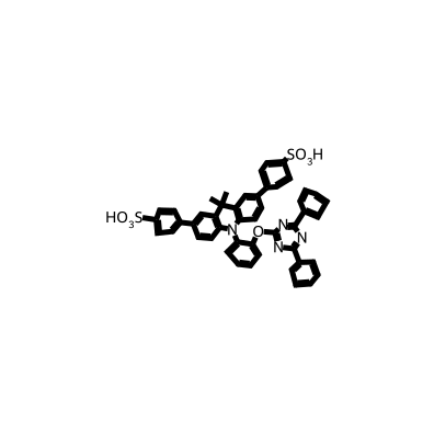 CC1(C)c2cc(-c3ccc(S(=O)(=O)O)cc3)ccc2N(c2ccccc2Oc2nc(-c3ccccc3)nc(-c3ccccc3)n2)c2ccc(-c3ccc(S(=O)(=O)O)cc3)cc21